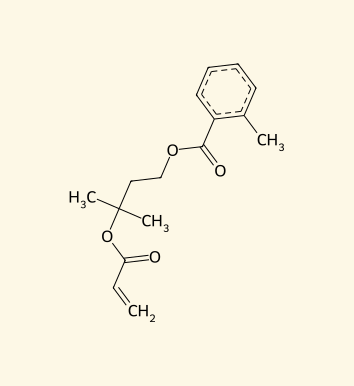 C=CC(=O)OC(C)(C)CCOC(=O)c1ccccc1C